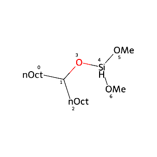 CCCCCCCCC(CCCCCCCC)O[SiH](OC)OC